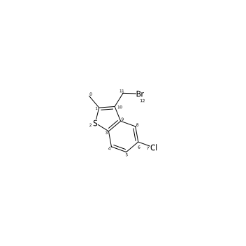 Cc1sc2ccc(Cl)cc2c1CBr